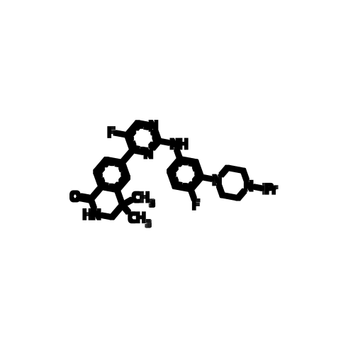 CC(C)N1CCN(c2cc(Nc3ncc(F)c(-c4ccc5c(c4)C(C)(C)CNC5=O)n3)ccc2F)CC1